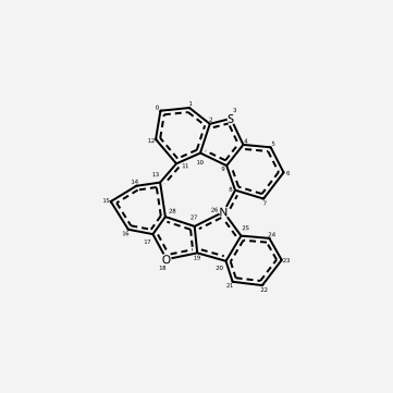 c1cc2sc3cccc4c3c2c(c1)c1cccc2oc3c5ccccc5n4c3c21